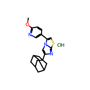 COc1ccc(-c2csc3nc(C45CC6CC(CC(C6)C4)C5)cn23)cn1.Cl